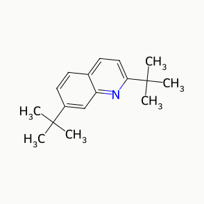 CC(C)(C)c1ccc2ccc(C(C)(C)C)nc2c1